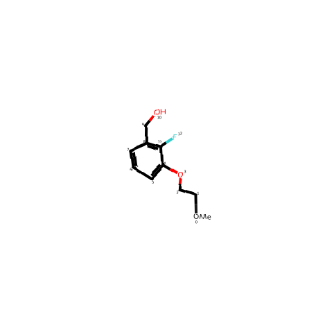 COCCOc1cccc(CO)c1F